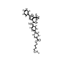 CCCCCOC(=O)N1CCN(c2ccc(NC(=O)c3nc(-c4ccccc4)oc3C(F)(F)F)cn2)CC1